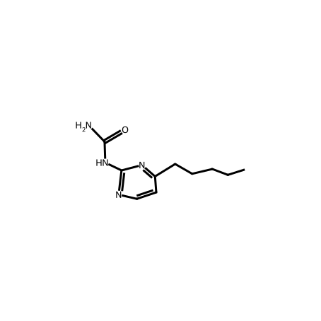 CCCCCc1ccnc(NC(N)=O)n1